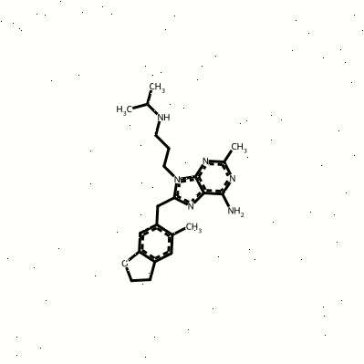 Cc1nc(N)c2nc(Cc3cc4c(cc3C)CCO4)n(CCCNC(C)C)c2n1